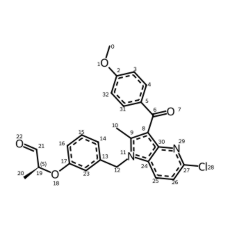 COc1ccc(C(=O)c2c(C)n(Cc3cccc(O[C@@H](C)C=O)c3)c3ccc(Cl)nc23)cc1